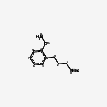 CCCCCCCCCc1ccccc1ON